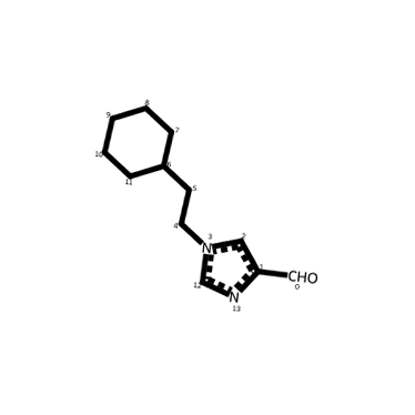 O=Cc1cn(CCC2CCCCC2)cn1